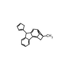 CC12Cc3c4c([c]c1c32)C(C1=CC=CC1)c1ccccc1-4